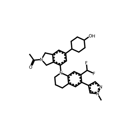 CC(=O)N1Cc2cc(C3CCC(O)CC3)cc(N3CCCc4cc(-c5cnn(C)c5)c(C(F)F)cc43)c2C1